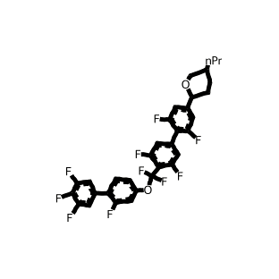 CCCC1CCC(c2cc(F)c(-c3cc(F)c(C(F)(F)Oc4ccc(-c5cc(F)c(F)c(F)c5)c(F)c4)c(F)c3)c(F)c2)OC1